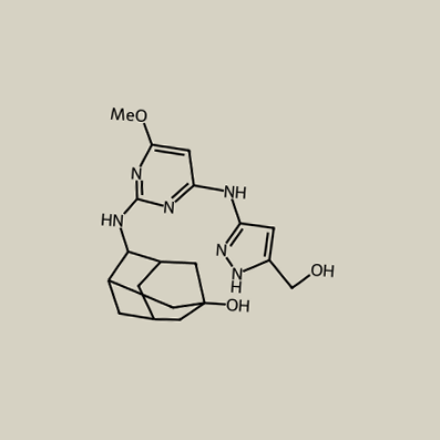 COc1cc(Nc2cc(CO)[nH]n2)nc(NC2C3CC4CC2CC(O)(C4)C3)n1